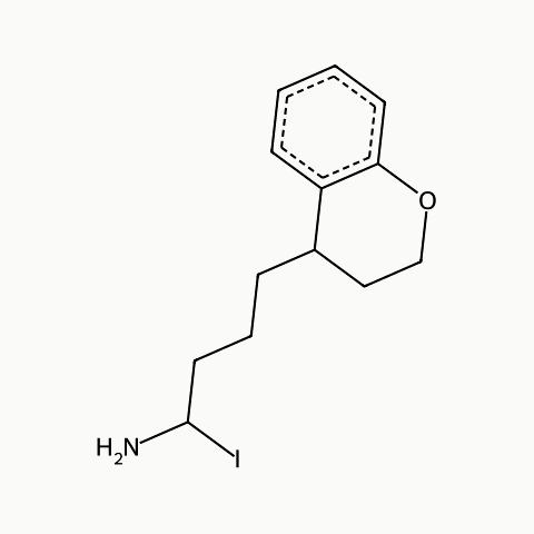 NC(I)CCCC1CCOc2ccccc21